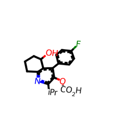 CC(C)c1nc2c(c(-c3ccc(F)cc3)c1OC(=O)O)C(O)CCC2